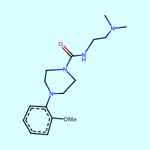 COc1ccccc1N1CCN(C(=O)NCCN(C)C)CC1